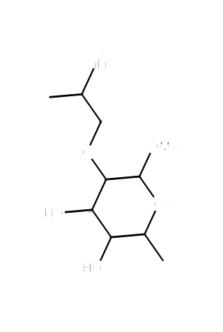 COC1OC(C)C(O)C(O)C1OCC(C)C(C)C